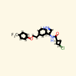 O=C(Nc1c[nH]c2ccc(CCOc3ccc(C(F)(F)F)cc3)cc12)C1CC(Cl)C1